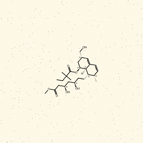 CCC(C)(C)C(=O)O[C@H]1C[C@H](CO)C=C2C=C[C@H](C)[C@H](CC[C@@H](O)C[C@@H](O)CC(=O)OC)[C@H]21